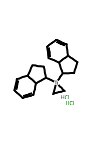 C1=CC2CC[CH]([Ti]3([CH]4CCC5C=CC=CC54)[CH2][CH2]3)C2C=C1.Cl.Cl